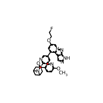 COc1ccc(C(=O)N2C3CC2CN(c2ccc(-c4cc(OCCF)cn5nc6[nH]ncc6c45)cn2)C3)cn1